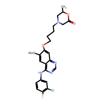 COc1cc2c(Nc3ccc(F)c(Cl)c3)ncnc2cc1OCCCCN1CC(=O)OC(C)C1